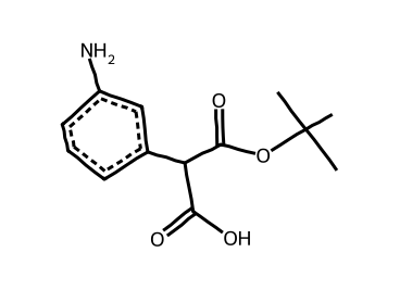 CC(C)(C)OC(=O)C(C(=O)O)c1cccc(N)c1